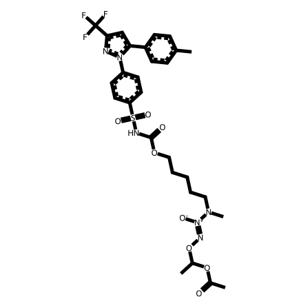 CC(=O)OC(C)O/N=[N+](\[O-])N(C)CCCCCOC(=O)NS(=O)(=O)c1ccc(-n2nc(C(F)(F)F)cc2-c2ccc(C)cc2)cc1